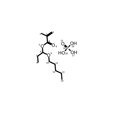 C=C(C)C(=O)OC(CC)OCCCCC.O=P(O)(O)O